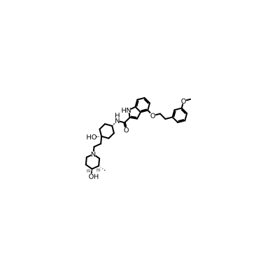 COc1cccc(CCOc2cccc3[nH]c(C(=O)N[C@H]4CC[C@](O)(CCN5CC[C@H](O)[C@@H](C)C5)CC4)cc23)c1